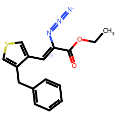 CCOC(=O)/C(=C/c1cscc1Cc1ccccc1)N=[N+]=[N-]